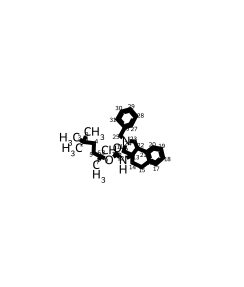 CC(C)(C)CCC(C)(C)OC(=O)NC12CCc3ccccc3C1CN(Cc1ccccc1)C2